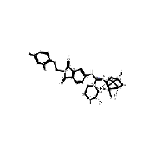 Cc1ccc(CCN2C(=O)c3ccc(N/C(=N/[C@H]4C[C@H]5C[C@@H]([C@@H]4C)C5(C)C)N4CCN[C@@H](C)C4)cc3C2=O)c(C)c1